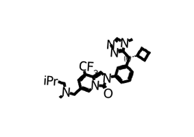 CC(C)CN(C)Cc1cc(C(F)(F)F)c2cn(-c3cccc([C@H](c4nncn4C)C4CCC4)c3)c(=O)n2c1